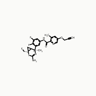 C#CCOc1cnc(C(=O)Nc2cc(F)c(F)c([C@@]3(C)N=C(N)S[C@@]4(CF)CC43)c2)c(C)c1